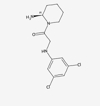 N[C@H]1CCCCN1C(=O)CNc1cc(Cl)cc(Cl)c1